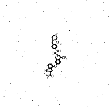 CN1CCN(Cc2ccc(NC(=O)N3Cc4cc(Oc5ccnc6[nH]c(C(=O)N(C)C)cc56)ccc4C(C(F)(F)F)C3)cc2C(F)(F)F)CC1